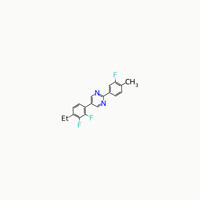 CCc1ccc(-c2cnc(-c3ccc(C)c(F)c3)nc2)c(F)c1F